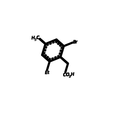 CCc1cc(C)cc(Br)c1CC(=O)O